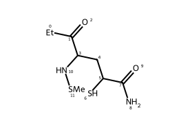 CCC(=O)C(CC(S)C(N)=O)NSC